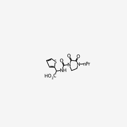 CCCN1CCN(C(=O)NC(C(=O)O)c2cccs2)C(=O)C1=O